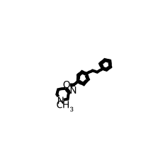 CN1CCc2oc(-c3ccc(CCc4ccccc4)cc3)nc2C1